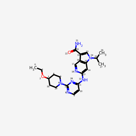 CCOC1CCN(c2nccc(Nc3cc4c(cn3)c(C(N)=O)cn4C(C)C)n2)CC1